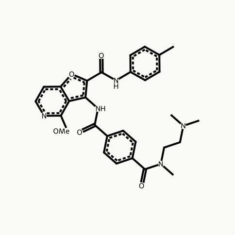 COc1nccc2oc(C(=O)Nc3ccc(C)cc3)c(NC(=O)c3ccc(C(=O)N(C)CCN(C)C)cc3)c12